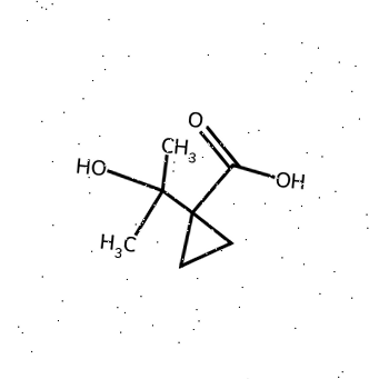 CC(C)(O)C1(C(=O)O)CC1